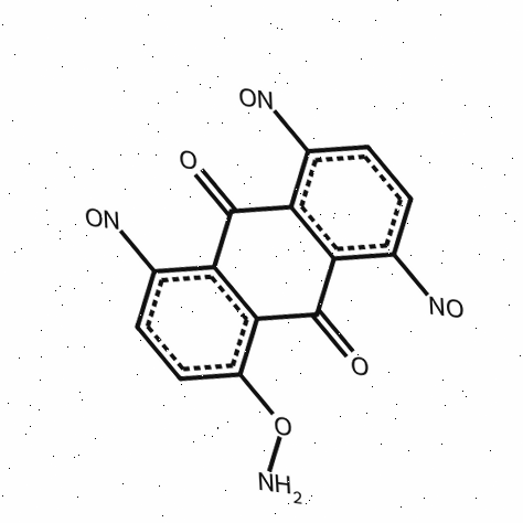 NOc1ccc(N=O)c2c1C(=O)c1c(N=O)ccc(N=O)c1C2=O